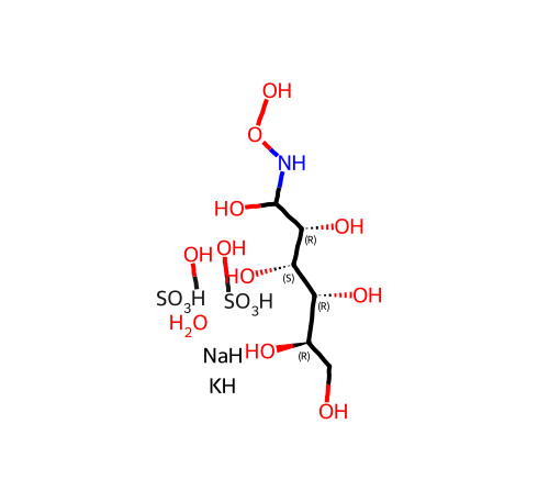 O.O=S(=O)(O)O.O=S(=O)(O)O.OC[C@@H](O)[C@@H](O)[C@H](O)[C@@H](O)C(O)NOO.[KH].[NaH]